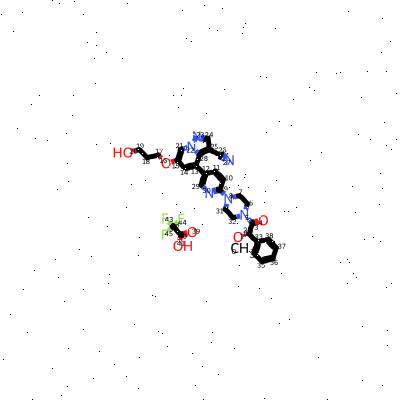 CO[C@@H](C(=O)N1CCN(c2ccc(-c3cc(OCCCO)cn4ncc(C#N)c34)cn2)CC1)c1ccccc1.O=C(O)C(F)(F)F